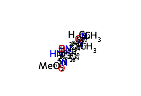 COC(=O)c1cc2c(cn1)/C(=C(/Nc1ccc(N(C)C(=O)CN(C)C)cc1)c1ccccc1)C(=O)N2